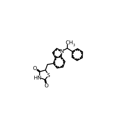 CC(c1ccccc1)n1ccc2c(CC3SC(=O)NC3=O)cccc21